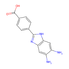 Nc1cc2nc(-c3ccc(C(=O)O)cc3)[nH]c2cc1N